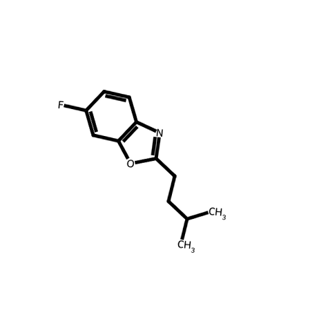 CC(C)CCc1nc2ccc(F)cc2o1